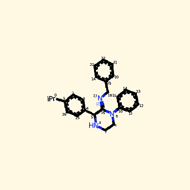 CC(C)c1ccc(C2NCCN(c3ccccc3)/C2=N\Cc2ccccc2)cc1